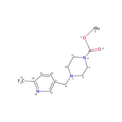 CC(C)(C)OC(=O)N1CCN(Cc2ccc(C(F)(F)F)nc2)CC1